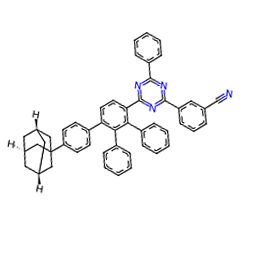 N#Cc1cccc(-c2nc(-c3ccccc3)nc(-c3ccc(-c4ccc(C56C[C@H]7C[C@@H](C5)C[C@@H](C6)C7)cc4)c(-c4ccccc4)c3-c3ccccc3)n2)c1